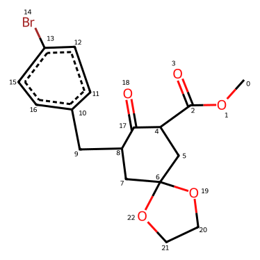 COC(=O)C1CC2(CC(Cc3ccc(Br)cc3)C1=O)OCCO2